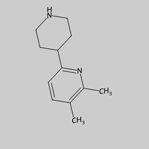 Cc1ccc(C2CCNCC2)nc1C